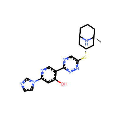 C[C@]12CCCC(C[C@@H](Sc3cnc(-c4cnc(-n5ccnc5)cc4O)nn3)C1)N2